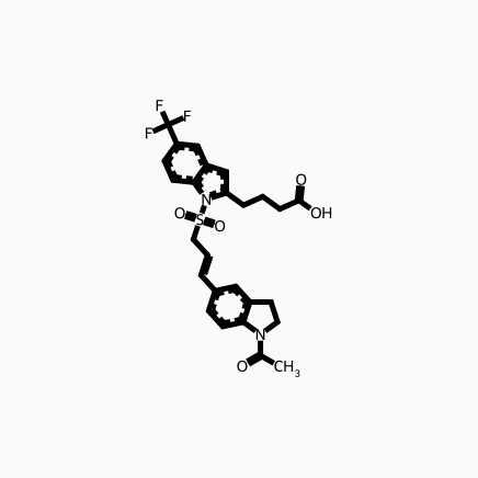 CC(=O)N1CCc2cc(C=CCS(=O)(=O)n3c(CCCC(=O)O)cc4cc(C(F)(F)F)ccc43)ccc21